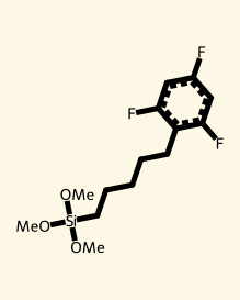 CO[Si](CCCCCc1c(F)cc(F)cc1F)(OC)OC